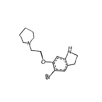 Brc1cc2c(cc1OCCN1CCCCC1)NCC2